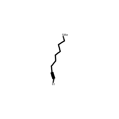 [CH2]CC#CCCCCCCSC